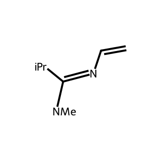 C=C/N=C(/NC)C(C)C